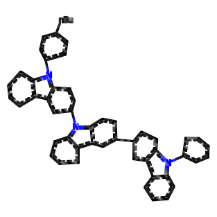 CCCCc1ccc(-n2c3ccccc3c3cc(-n4c5ccccc5c5cc(-c6ccc7c(c6)c6ccccc6n7-c6ccccc6)ccc54)ccc32)cc1